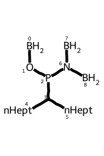 BOP(C(CCCCCCC)CCCCCCC)N(B)B